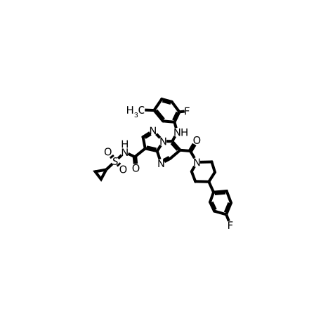 Cc1ccc(F)c(Nc2c(C(=O)N3CCC(c4ccc(F)cc4)CC3)cnc3c(C(=O)NS(=O)(=O)C4CC4)cnn23)c1